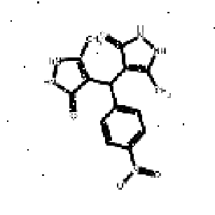 Cc1[nH][nH]c(=O)c1C(c1ccc([N+](=O)[O-])cc1)c1c(C)[nH][nH]c1=O